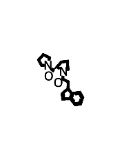 O=C([C@H]1CCCN1C(=O)CC1C=Cc2ccccc21)N1CCCC1